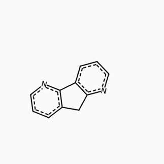 c1cnc2c(c1)Cc1ncccc1-2